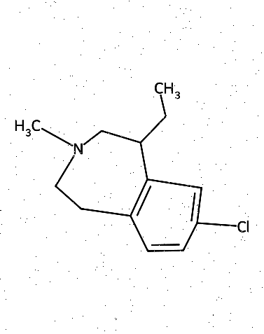 CCC1CN(C)CCc2ccc(Cl)cc21